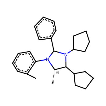 Cc1ccccc1N1C(c2ccccc2)N(C2CCCC2)C(C2CCCC2)[C@@H]1C